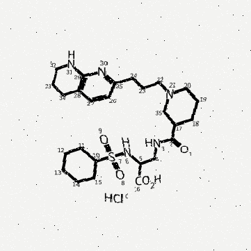 Cl.O=C(NCC(NS(=O)(=O)C1CCCCC1)C(=O)O)C1CCCN(CCCc2ccc3c(n2)NCCC3)C1